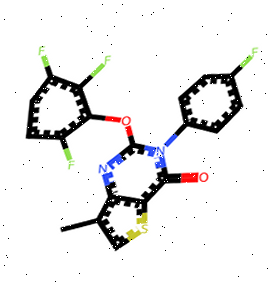 Cc1csc2c(=O)n(-c3ccc(F)cc3)c(Oc3c(F)ccc(F)c3F)nc12